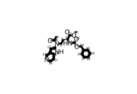 COC(=O)[C@H](CCN(C(C)=O)c1cc2cnccc2[nH]1)NC(=O)OCc1ccccc1